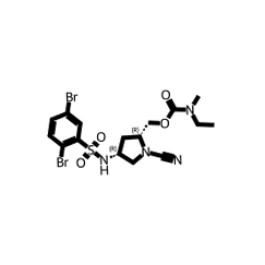 CCN(C)C(=O)OC[C@H]1C[C@@H](NS(=O)(=O)c2cc(Br)ccc2Br)CN1C#N